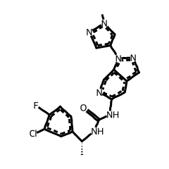 C[C@@H](NC(=O)Nc1cc2cnn(-c3cnn(C)c3)c2cn1)c1ccc(F)c(Cl)c1